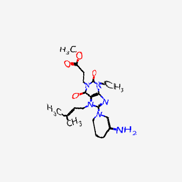 COC(=O)CCn1c(=O)c2c(nc(N3CCCC(N)C3)n2CC=C(C)C)n(C)c1=O